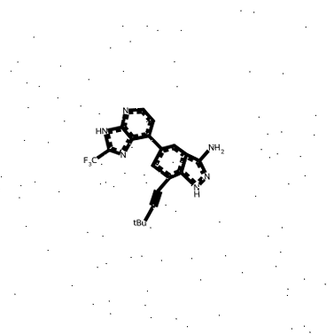 CC(C)(C)C#Cc1cc(-c2ccnc3[nH]c(C(F)(F)F)nc23)cc2c(N)n[nH]c12